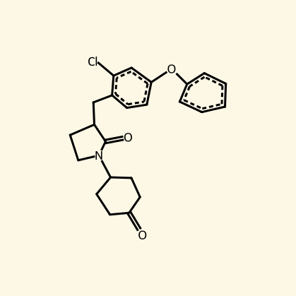 O=C1CCC(N2CCC(Cc3ccc(Oc4ccccc4)cc3Cl)C2=O)CC1